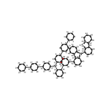 c1ccc(-c2ccc(-c3ccc(N(c4ccc(-c5ccc(-c6ccccc6)cc5)cc4)c4ccccc4-c4cccc(-c5cccc6c5c5ccccc5n6-c5cccc6c5sc5ccccc56)c4)cc3)cc2)cc1